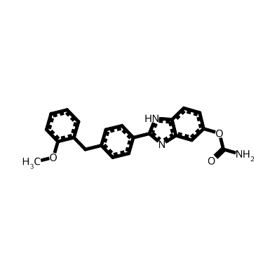 COc1ccccc1Cc1ccc(-c2nc3cc(OC(N)=O)ccc3[nH]2)cc1